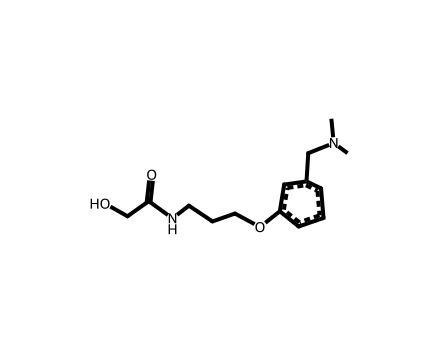 CN(C)Cc1cccc(OCCCNC(=O)CO)c1